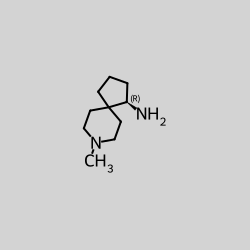 CN1CCC2(CCC[C@H]2N)CC1